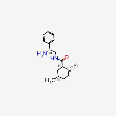 CC(C)[C@@H]1CC[C@@H](C)C[C@H]1C(=O)NC[C@H](N)c1ccccc1